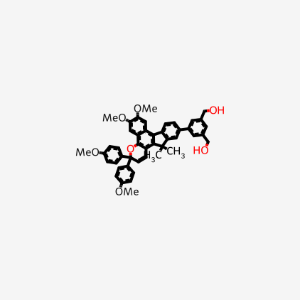 COc1ccc(C2(c3ccc(OC)cc3)C=Cc3c4c(c5cc(OC)c(OC)cc5c3O2)-c2ccc(-c3cc(CO)cc(CO)c3)cc2C4(C)C)cc1